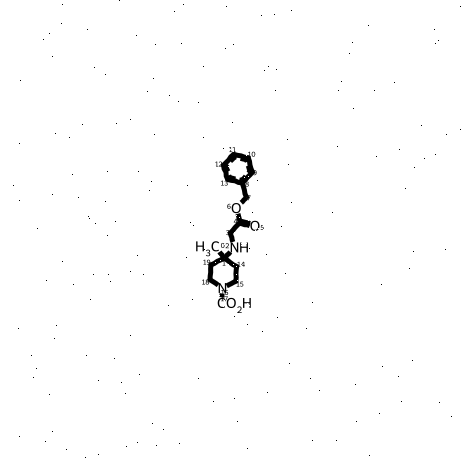 CC1(NCC(=O)OCc2ccccc2)CCN(C(=O)O)CC1